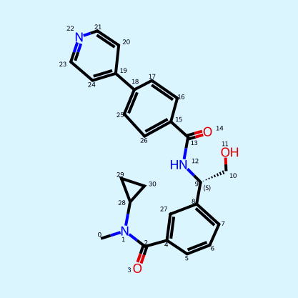 CN(C(=O)c1cccc([C@@H](CO)NC(=O)c2ccc(-c3ccncc3)cc2)c1)C1CC1